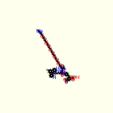 Cc1ccc(C(NCCCCC(NC(=O)C(NC(=O)CCOCCOCCOCCOCCOCCOCCOCCOCCOCCN=[N+]=[N-])C(C)C)C(=O)Nc2ccc(Cc3cc([N+](=O)[O-])ccc3OC(=O)O)cc2)(c2ccccc2)c2ccccc2)cc1